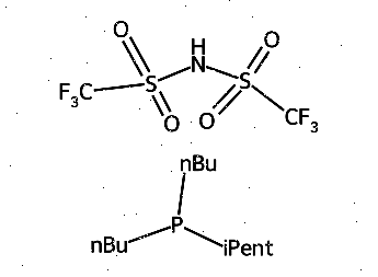 CCCCP(CCCC)C(C)CCC.O=S(=O)(NS(=O)(=O)C(F)(F)F)C(F)(F)F